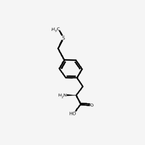 CSCc1ccc(C[C@H](N)C(=O)O)cc1